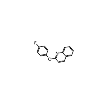 Fc1ccc(Oc2ccc3ccccc3n2)cc1